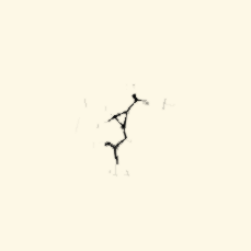 CC1(C)C(CC(Br)Br)C1C(=O)O